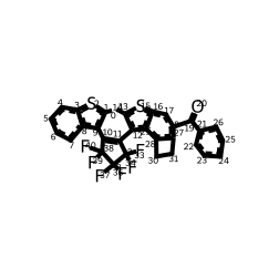 Cc1sc2ccccc2c1C1=C(c2c(C)sc3cc(C(=O)c4ccccc4)c4c(c23)CC4)C(F)(F)C(F)(F)C1(F)F